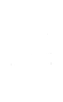 OCC(CO)O[C@@H](O)CO